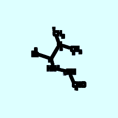 CCC(NNC=O)N(C)C